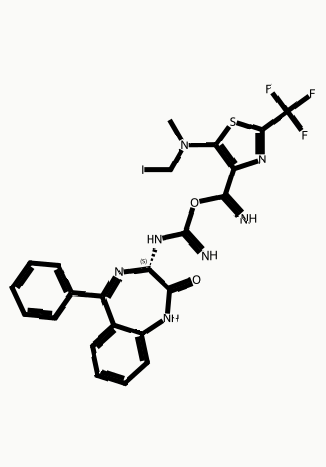 CN(CI)c1sc(C(F)(F)F)nc1C(=N)OC(=N)N[C@H]1N=C(c2ccccc2)c2ccccc2NC1=O